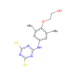 CCCCc1cc(Nc2nc(S)nc(S)n2)cc(CCCC)c1OCCO